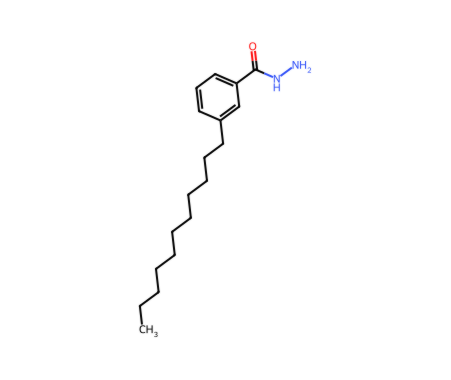 CCCCCCCCCCCc1cccc(C(=O)NN)c1